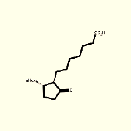 CCCCCC[C@H]1CCC(=O)[C@@H]1CCCCCCC(=O)O